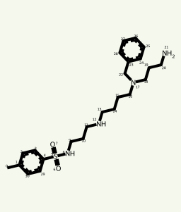 Cc1ccc(S(=O)(=O)NCCCNCCCCN(CCCN)Cc2ccccc2)cc1